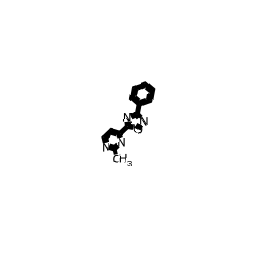 Cc1nccc(-c2nc(-c3ccccc3)no2)n1